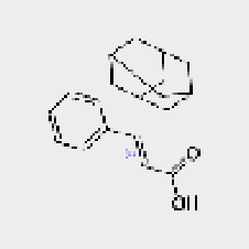 C1C2CC3CC1CC(C2)C3.O=C(O)/C=C/c1ccccc1